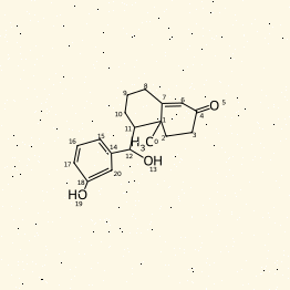 CC12CCC(=O)C=C1CCCC2C(O)c1cccc(O)c1